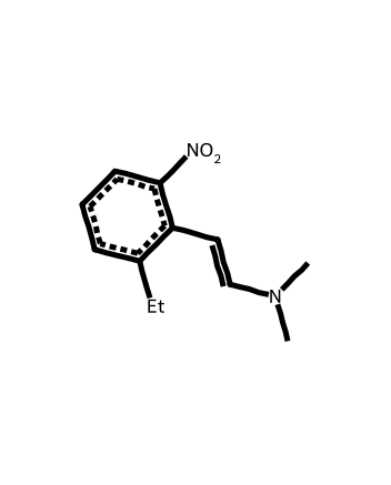 CCc1cccc([N+](=O)[O-])c1C=CN(C)C